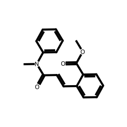 COC(=O)c1ccccc1/C=C/C(=O)N(C)c1ccccc1